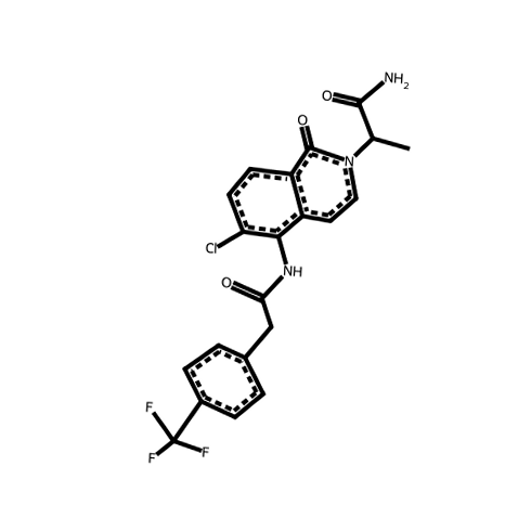 CC(C(N)=O)n1ccc2c(NC(=O)Cc3ccc(C(F)(F)F)cc3)c(Cl)ccc2c1=O